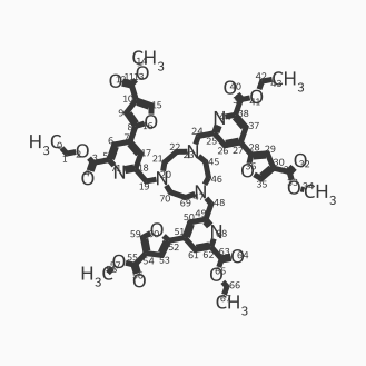 CCOC(=O)c1cc(-c2cc(C(=O)OC)co2)cc(CN2CCN(Cc3cc(-c4cc(C(=O)OC)co4)cc(C(=O)OCC)n3)CCN(Cc3cc(-c4cc(C(=O)OC)co4)cc(C(=O)OCC)n3)CC2)n1